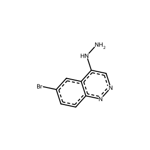 NNc1cnnc2ccc(Br)cc12